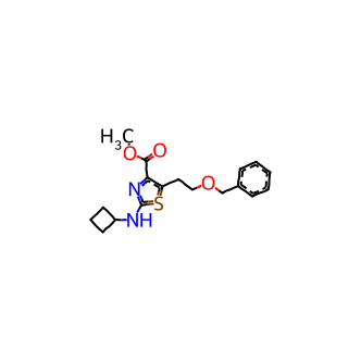 COC(=O)c1nc(NC2CCC2)sc1CCOCc1ccccc1